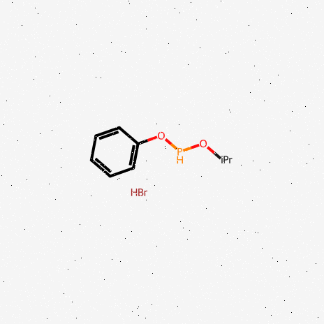 Br.CC(C)OPOc1ccccc1